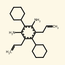 C=CCc1c(N)c(C2CCCCC2)c(N)c(CC=C)c1C1CCCCC1